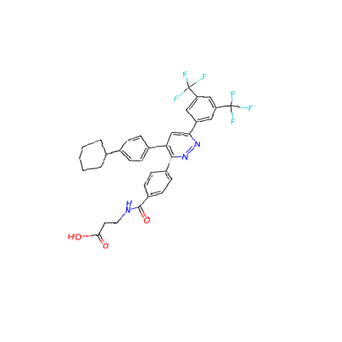 O=C(O)CCNC(=O)c1ccc(-c2nnc(-c3cc(C(F)(F)F)cc(C(F)(F)F)c3)cc2-c2ccc(C3CCCCC3)cc2)cc1